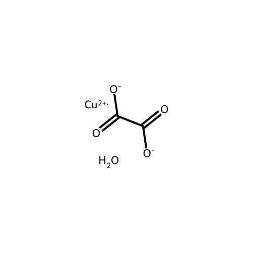 O.O=C([O-])C(=O)[O-].[Cu+2]